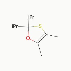 CC1=C(C)SC(C(C)C)(C(C)C)O1